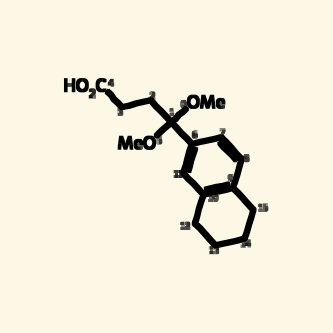 COC(CCC(=O)O)(OC)c1ccc2c(c1)CCCC2